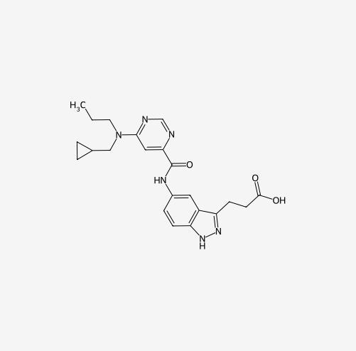 CCCN(CC1CC1)c1cc(C(=O)Nc2ccc3[nH]nc(CCC(=O)O)c3c2)ncn1